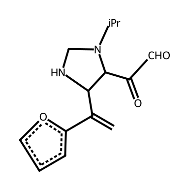 C=C(c1ccco1)C1NCN(C(C)C)C1C(=O)C=O